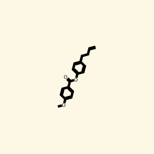 C=CCCc1ccc(OC(=O)c2ccc(OC)cc2)cc1